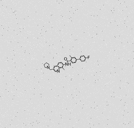 Cc1cc(-c2ccc(F)cc2)ccc1C(=O)Nc1ccc2cc(CN3CCCC3)cnc2c1C